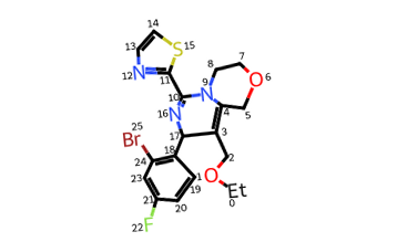 CCOCC1=C2COCCN2C(c2nccs2)=NC1c1ccc(F)cc1Br